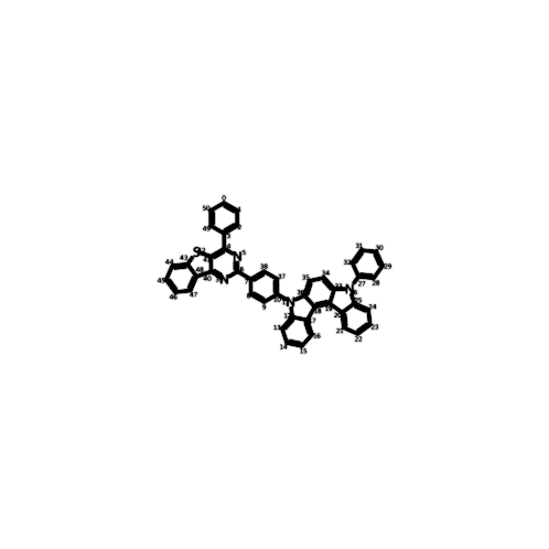 c1ccc(-c2nc(-c3ccc(-n4c5ccccc5c5c6c7ccccc7n(-c7ccccc7)c6ccc54)cc3)nc3c2sc2ccccc23)cc1